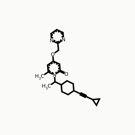 Cc1cc(OCc2ncccn2)cc(=O)n1C(C)C1CCC(C#CC2CC2)CC1